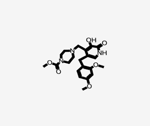 COC(=O)N1CCN(Cc2c(Cc3ccc(OC)cc3OC)c[nH]c(=O)c2O)CC1